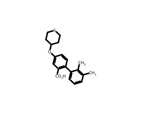 Cc1cccc(-c2ccc(OC3CCSCC3)cc2C(=O)O)c1C